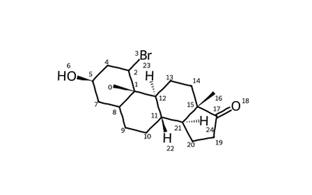 C[C@]12C(Br)C[C@H](O)CC1CC[C@@H]1[C@@H]2CC[C@]2(C)C(=O)CC[C@@H]12